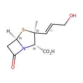 C[C@@]1(/C=C/CO)S[C@@H]2CC(=O)N2[C@H]1C(=O)O